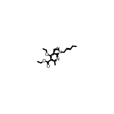 CCC=CCn1ncc2c(OCC)c(C(=O)OCC)c(C)nc21